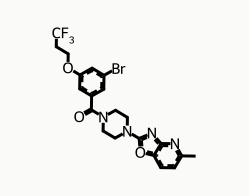 Cc1ccc2oc(N3CCN(C(=O)c4cc(Br)cc(OCCC(F)(F)F)c4)CC3)nc2n1